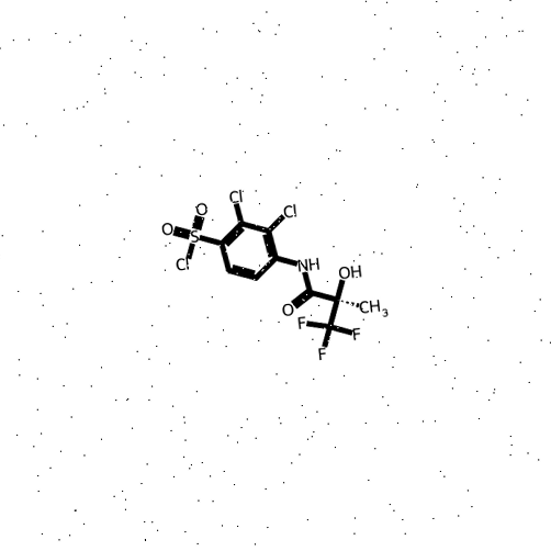 C[C@@](O)(C(=O)Nc1ccc(S(=O)(=O)Cl)c(Cl)c1Cl)C(F)(F)F